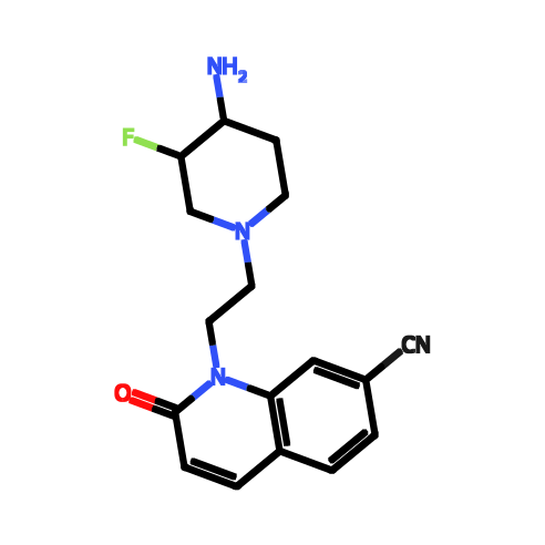 N#Cc1ccc2ccc(=O)n(CCN3CCC(N)C(F)C3)c2c1